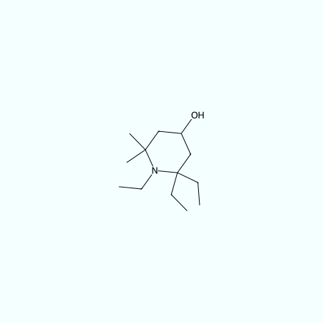 CCN1C(C)(C)CC(O)CC1(CC)CC